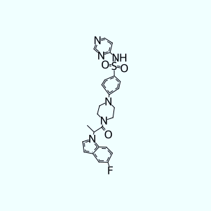 CC(C(=O)N1CCN(c2ccc(S(=O)(=O)Nc3ccncn3)cc2)CC1)n1ccc2cc(F)ccc21